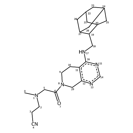 CN(CCC#N)CC(=O)N1CCc2c(ncnc2NCC2C3CC4CC(C3)CC2C4)C1